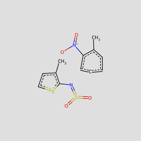 Cc1ccccc1[N+](=O)[O-].Cc1ccsc1N=S(=O)=O